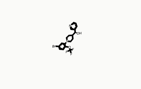 O[C@H](c1cccnc1)C1CCN(c2cc(Br)ccc2OC(F)(F)F)CC1